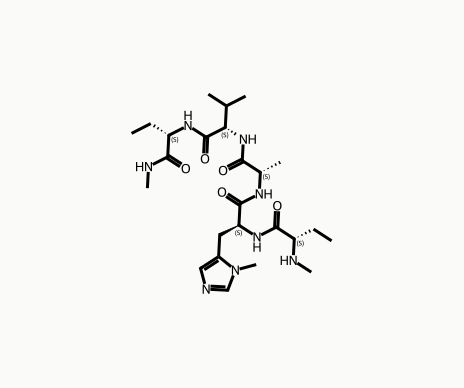 CC[C@H](NC)C(=O)N[C@@H](Cc1cncn1C)C(=O)N[C@@H](C)C(=O)N[C@H](C(=O)N[C@@H](CC)C(=O)NC)C(C)C